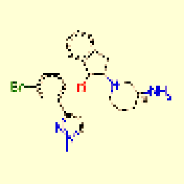 N[C@H]1CCCN(C2Cc3ccccc3C2Oc2ccc(Br)cc2-c2cc[nH]n2)C1